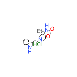 CCC1NC(=O)COC12CCN(CCc1c[nH]c3ccccc13)CC2.Cl